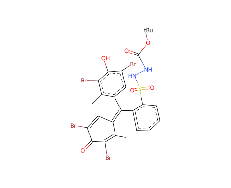 CC1=C(Br)C(=O)C(Br)=C/C1=C(/c1ccccc1S(=O)(=O)NNC(=O)OC(C)(C)C)c1cc(Br)c(O)c(Br)c1C